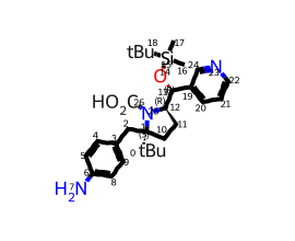 CC(C)(C)[C@@]1(Cc2ccc(N)cc2)CC[C@H]([C@H](O[Si](C)(C)C(C)(C)C)c2cccnc2)N1C(=O)O